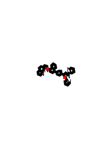 c1ccc(-c2cc(-c3ccc(-c4ccc(-c5ccc6ccc7cccnc7c6n5)c5ccccc45)cc3)cc(-c3ccccn3)n2)nc1